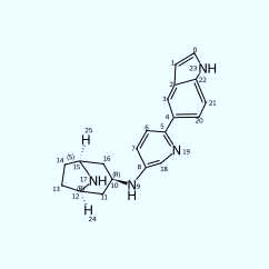 c1cc2cc(-c3ccc(N[C@H]4C[C@H]5CC[C@@H](C4)N5)cn3)ccc2[nH]1